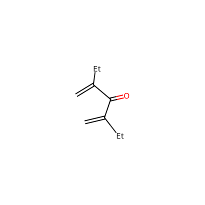 C=C(CC)C(=O)C(=C)CC